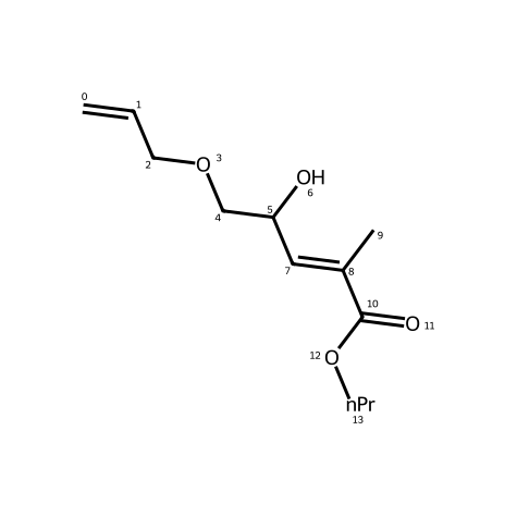 C=CCOCC(O)C=C(C)C(=O)OCCC